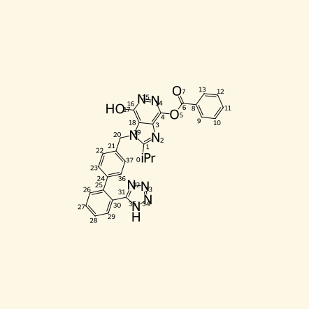 CC(C)c1nc2c(OC(=O)c3ccccc3)nnc(O)c2n1Cc1ccc(-c2ccccc2-c2nnn[nH]2)cc1